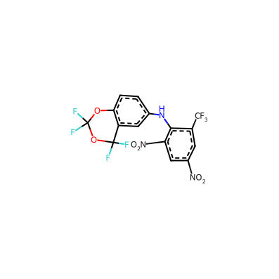 O=[N+]([O-])c1cc([N+](=O)[O-])c(Nc2ccc3c(c2)C(F)(F)OC(F)(F)O3)c(C(F)(F)F)c1